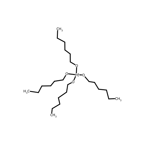 CCCCCC[O][Hf]([O]CCCCCC)([O]CCCCCC)[O]CCCCCC